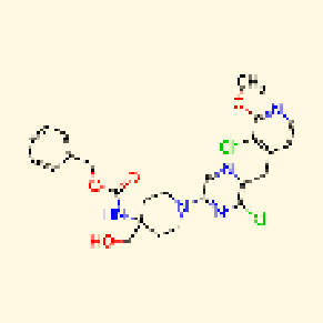 COc1nccc(Cc2ncc(N3CCC(CO)(NC(=O)OCc4ccccc4)CC3)nc2Cl)c1Cl